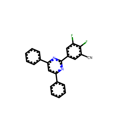 N#Cc1cc(-c2nc(-c3ccccc3)cc(-c3ccccc3)n2)cc(F)c1F